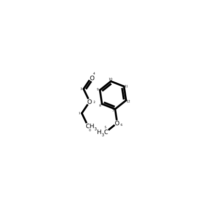 CCOC=O.COc1ccccc1